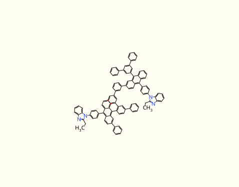 CCc1nc2ccccc2n1-c1ccc(-c2c3ccccc3c(-c3cc(-c4ccccc4)cc(-c4ccccc4)c3)c3cc(-c4cccc(-c5cccc(-c6cc(-c7ccccc7)ccc6-c6c7ccccc7c(-c7ccc(-n8c(CC)nc9ccccc98)cc7)c7ccc(-c8ccccc8)cc67)c5)c4)ccc23)cc1